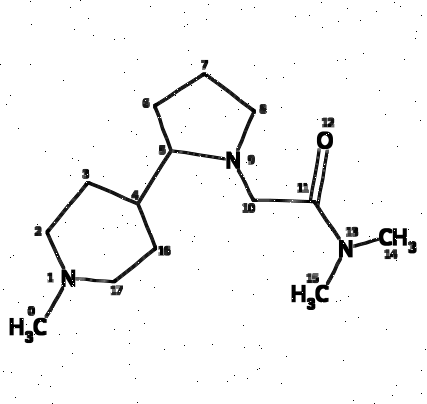 CN1CCC(C2CCCN2CC(=O)N(C)C)CC1